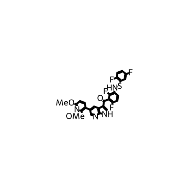 COc1ccc(-c2cnc3[nH]cc(C(=O)c4c(F)ccc(NSc5cc(F)ccc5F)c4F)c3c2)c(OC)n1